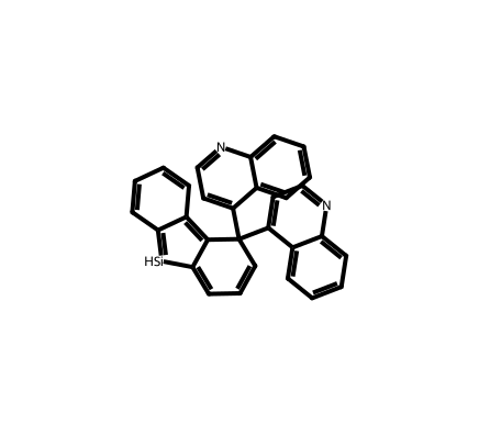 C1=CC(c2ccnc3ccccc23)(c2ccnc3ccccc23)C2=c3ccccc3=[SiH]C2=C1